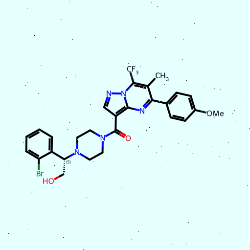 COc1ccc(-c2nc3c(C(=O)N4CCN([C@H](CO)c5ccccc5Br)CC4)cnn3c(C(F)(F)F)c2C)cc1